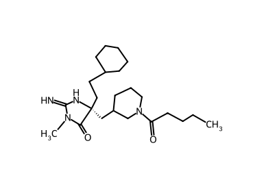 CCCCC(=O)N1CCCC(C[C@@]2(CCC3CCCCC3)NC(=N)N(C)C2=O)C1